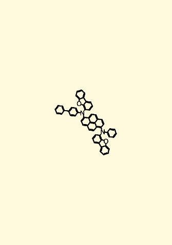 c1ccc(-c2ccc(N(c3ccc4ccc5c(N(c6ccccc6)c6cccc7c6oc6ccccc67)ccc6ccc3c4c65)c3cccc4c3oc3ccccc34)cc2)cc1